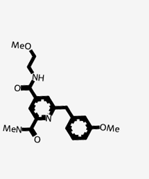 CNC(=O)c1cc(C(=O)NCCOC)cc(Cc2cccc(OC)c2)n1